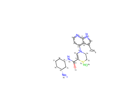 Cc1c[nH]c2nccc(N3C=C(C(=O)N[C@H]4CCC[C@@H](N)C4)SCC3)c12.Cl